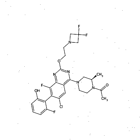 CC(=O)N1CCN(c2nc(OCCN3CC(F)(F)C3)nc3c(F)c(-c4c(O)cccc4F)c(Cl)cc23)C[C@H]1C